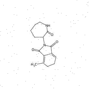 CC1=C2C(=O)N(C3CCCCNC3=O)C(=O)C2=CCC1